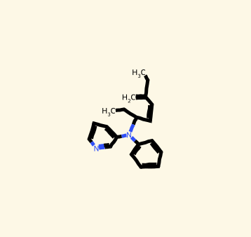 C=C(/C=C\C(CC)N(c1ccccc1)c1cccnc1)CC